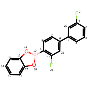 Fc1cccc(-c2ccc(B3Oc4ccccc4O3)c(F)c2)c1